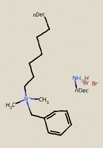 Br.CCCCCCCCCCCCCCCC[N+](C)(C)Cc1ccccc1.CCCCCCCCCCN.[Br-]